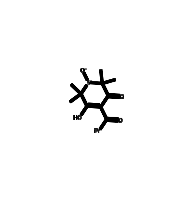 CC(C)C(=O)C1=C(O)C(C)(C)[S+]([O-])C(C)(C)C1=O